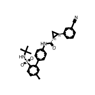 Cc1ccc(S(=O)(=O)NC(C)(C)C)c(-c2ccc(NC(=O)[C@@H]3C[C@H]3c3cccc(C#N)c3)cc2)c1